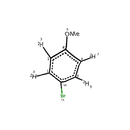 [2H]c1c([2H])c(OC)c([2H])c([2H])c1Br